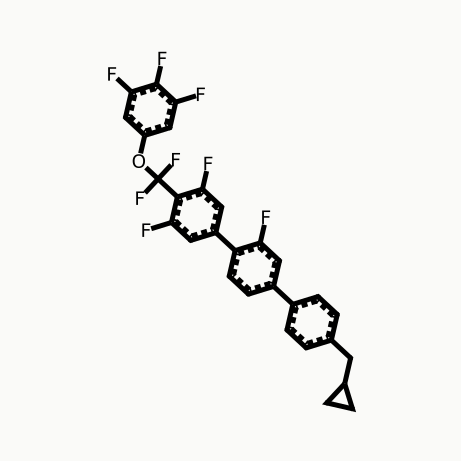 Fc1cc(-c2ccc(CC3CC3)cc2)ccc1-c1cc(F)c(C(F)(F)Oc2cc(F)c(F)c(F)c2)c(F)c1